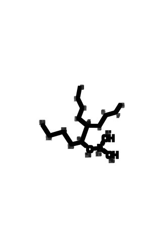 CCCCC(CCCC)C(CCCC)OB(O)O